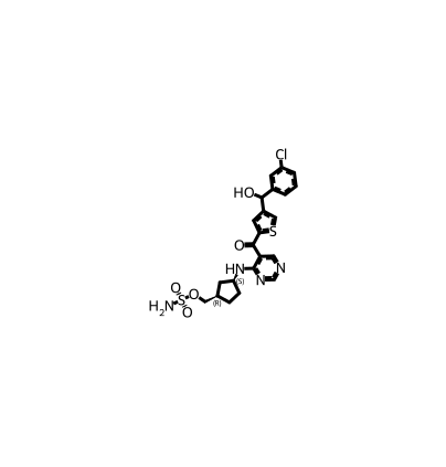 NS(=O)(=O)OC[C@@H]1CC[C@H](Nc2ncncc2C(=O)c2cc(C(O)c3cccc(Cl)c3)cs2)C1